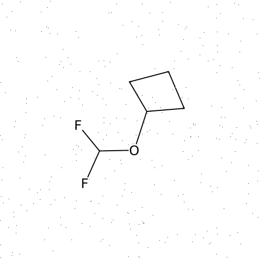 FC(F)OC1CCC1